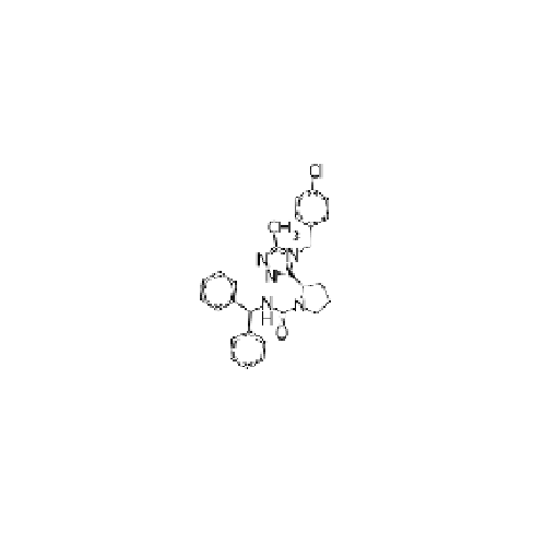 Cc1nnc([C@H]2CCCN2C(=O)NC(c2ccccc2)c2ccccc2)n1Cc1ccc(Cl)cc1